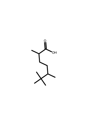 CC(CCC(C)C(C)(C)C)C(=O)O